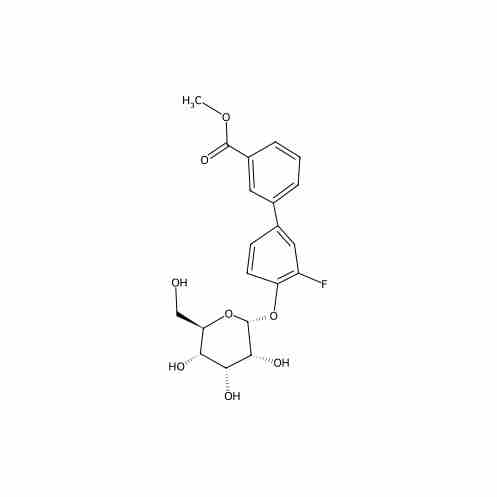 COC(=O)c1cccc(-c2ccc(O[C@H]3O[C@H](CO)[C@@H](O)[C@@H](O)[C@H]3O)c(F)c2)c1